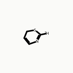 [2H]C1=NC=CCS1